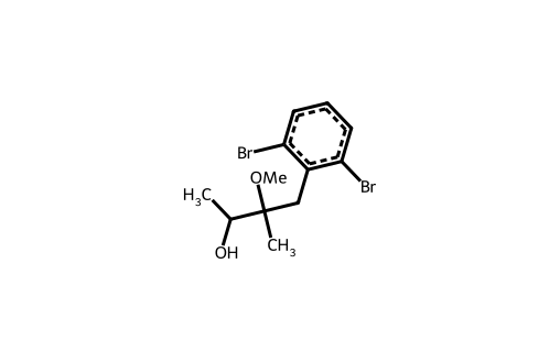 COC(C)(Cc1c(Br)cccc1Br)C(C)O